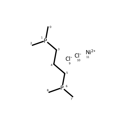 CP(C)CCCP(C)C.[Cl-].[Cl-].[Ni+2]